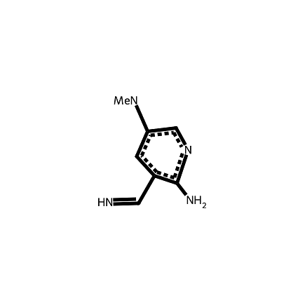 CNc1cnc(N)c(C=N)c1